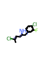 C/C(Cl)=C\C=C(/N)Cc1ccc(Cl)c(F)c1